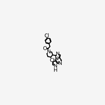 CC1CCN(C(=O)Cc2ccc(Cl)cc2)CC1c1ncc2cnc3[nH]ccc3n12